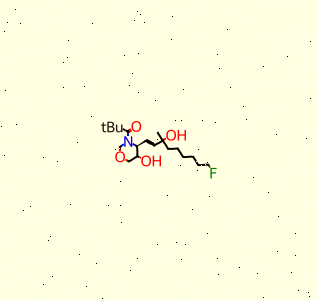 CC(O)(/C=C/[C@H]1C(O)COCN1C(=O)C(C)(C)C)CCCCCCF